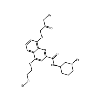 CCOCCOc1cc(C(=O)N[C@@H]2CCCN(C(C)C)C2)nc2c(OCC(=O)CC(C)C)cccc12